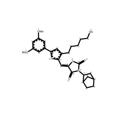 COc1cc(OC)cc(-c2cc(CCCCCO)c(/C=C3\SC(=S)N(C4CC5CCC4C5)C3=O)o2)c1